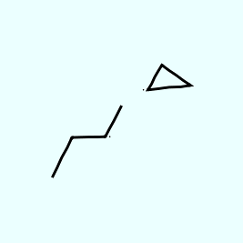 C[CH]CC.[CH]1CC1